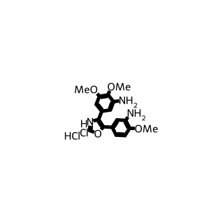 COc1ccc(-c2ocnc2-c2cc(N)c(OC)c(OC)c2)cc1N.Cl.Cl